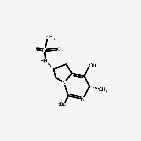 C[C@@H]1N=C(C(C)(C)C)N2C[C@H](NS(C)(=O)=O)CC2=C1C(C)(C)C